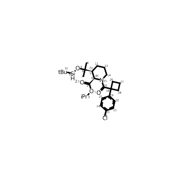 CC(C)OC(=O)[C@H]1[C@@H](C(C)(C)O[SiH2]C(C)(C)C)CCCN1C(=O)C1(c2ccc(Cl)cc2)CCC1